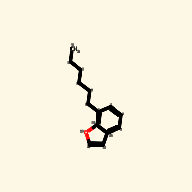 CCCCCCc1cccc2c[c]oc12